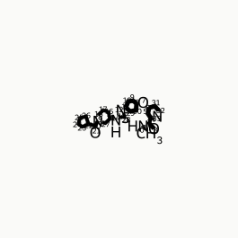 CNC(=O)c1cc(Oc2ccc3nc(N[C@H]4CCCN(C(=O)C5CCCC5)C4)sc3c2)ccn1